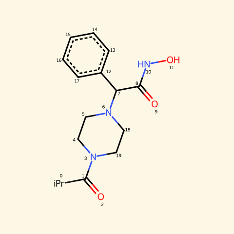 CC(C)C(=O)N1CCN(C(C(=O)NO)c2ccccc2)CC1